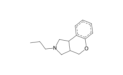 CCCN1CC2COc3ccccc3C2C1